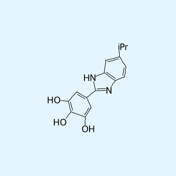 CC(C)c1ccc2nc(-c3cc(O)c(O)c(O)c3)[nH]c2c1